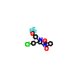 O=C1c2ccccc2C(=O)N1Cc1cnc(-c2ccc(OC(F)(F)F)cc2)c(-c2ccc(Cl)cc2)c1